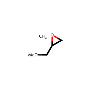 C.COCC1CO1